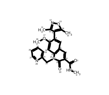 CNC(=O)c1cc2cc(-c3c(C)noc3C)c(OC)cc2n(Cc2ccccn2)c1=O